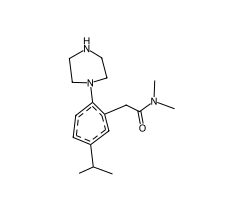 CC(C)c1ccc(N2CCNCC2)c(CC(=O)N(C)C)c1